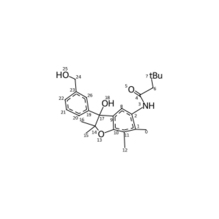 Cc1c(NC(=O)CC(C)(C)C)cc2c(c1C)OC(C)(C)C2(O)c1cccc(CO)c1